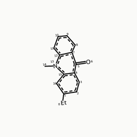 CCc1ccc2c(=O)c3ccccc3n(C)c2c1